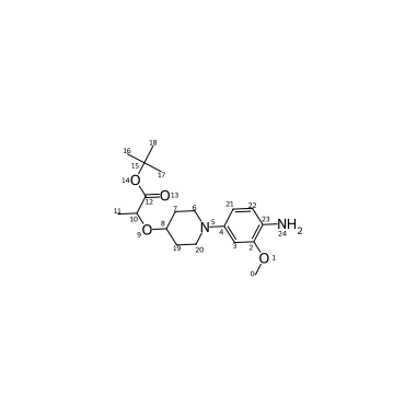 COc1cc(N2CCC(OC(C)C(=O)OC(C)(C)C)CC2)ccc1N